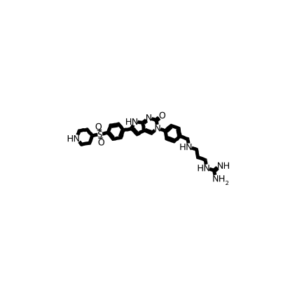 N=C(N)NCCCNCc1ccc(-n2cc3cc(-c4ccc(S(=O)(=O)C5CCNCC5)cc4)[nH]c3nc2=O)cc1